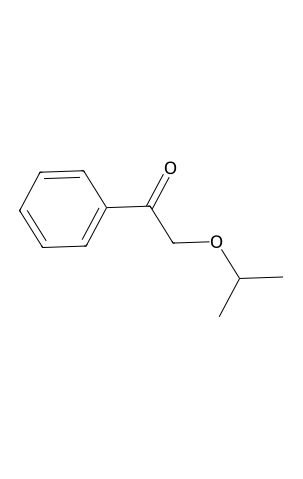 CC(C)OCC(=O)c1ccccc1